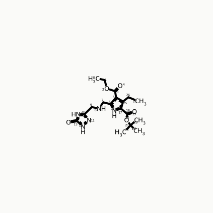 CCOC(=O)c1c(CNCc2n[nH]c(=O)[nH]2)[nH]c(C(=O)OC(C)(C)C)c1CC